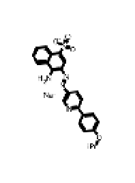 CC(C)Oc1ccc(-c2ccc(N=Nc3cc(S(=O)(=O)[O-])c4ccccc4c3N)cn2)cc1.[Na+]